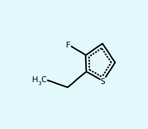 CCc1sccc1F